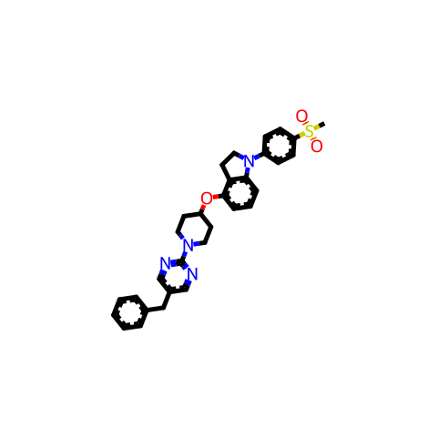 CS(=O)(=O)c1ccc(N2CCc3c(OC4CCN(c5ncc(Cc6ccccc6)cn5)CC4)cccc32)cc1